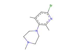 Cc1cc(Br)nc(C)c1N1CCN(C)CC1